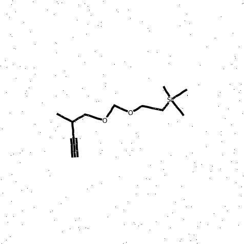 C#CC(C)COCOCC[Si](C)(C)C